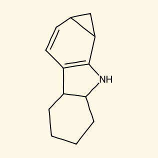 C1=CC2CC2C2=C1C1CCCCC1N2